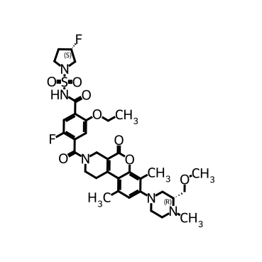 CCOc1cc(C(=O)N2CCc3c(c(=O)oc4c(C)c(N5CCN(C)[C@@H](COC)C5)cc(C)c34)C2)c(F)cc1C(=O)NS(=O)(=O)N1CC[C@H](F)C1